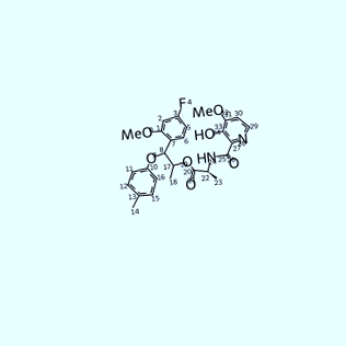 COc1cc(F)ccc1C(Oc1ccc(C)cc1)C(C)OC(=O)[C@H](C)NC(=O)c1nccc(OC)c1O